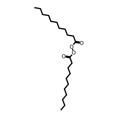 CCCCCCCCCCC(=O)OOC(=O)CCCCCCCCCC